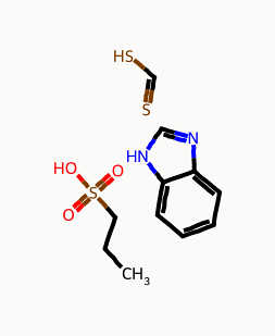 CCCS(=O)(=O)O.S=CS.c1ccc2[nH]cnc2c1